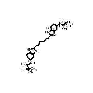 CC(C)(C)[C@H](O)N[C@H]1CCC2=C(C1)N[C@H](CCCCCC[C@@H]1NC3C[C@H](N[C@H](O)C(C)(C)C)CC[C@@H]3N1)N2